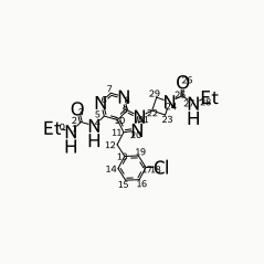 CCNC(=O)Nc1ncnc2c1c(Cc1cccc(Cl)c1)nn2C1CN(C(=O)NCC)C1